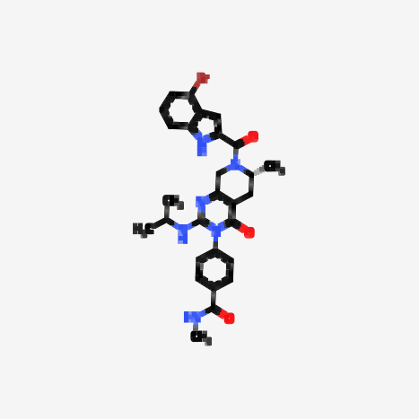 CNC(=O)c1ccc(-n2c(NC(C)C)nc3c(c2=O)C[C@@H](C)N(C(=O)c2cc4c(Br)cccc4[nH]2)C3)cc1